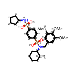 COc1cc(CN(C2CCCC[C@@H]2C)S(=O)(=O)c2ccc(S(=O)(=O)NC3CCCC3)cc2)cc(OC)c1OC